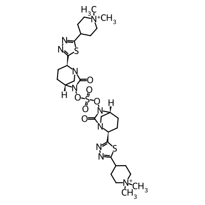 C[N+]1(C)CCC(c2nnc([C@@H]3CC[C@@H]4CN3C(=O)N4OS(=O)(=O)ON3C(=O)N4C[C@H]3CC[C@H]4c3nnc(C4CC[N+](C)(C)CC4)s3)s2)CC1